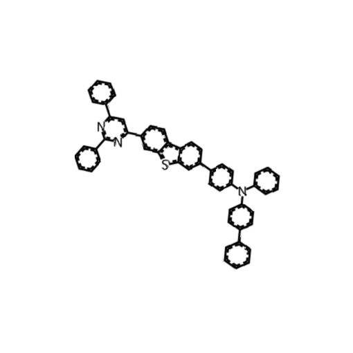 c1ccc(-c2ccc(N(c3ccccc3)c3ccc(-c4ccc5c(c4)sc4cc(-c6cc(-c7ccccc7)nc(-c7ccccc7)n6)ccc45)cc3)cc2)cc1